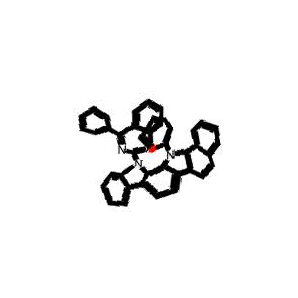 c1ccc(-c2nc(-n3c4ccccc4c4ccc5c6ccc7ccccc7c6n(-c6ccccc6)c5c43)nc3ccccc23)cc1